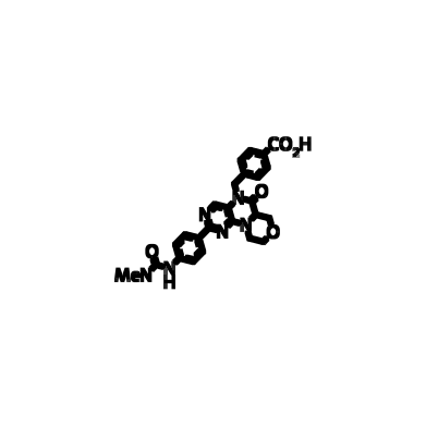 CNC(=O)Nc1ccc(-c2ncc3c(n2)N2CCOCC2C(=O)N3Cc2ccc(C(=O)O)cc2)cc1